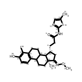 CON=C1C[C@@H](CCC(=O)Nc2ncc(C)s2)C2C3CCc4c(ccc(O)c4I)C3CC[C@]12C